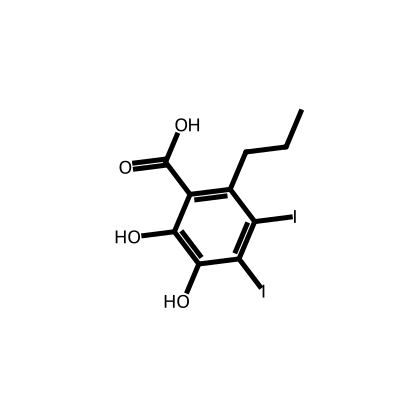 CCCc1c(I)c(I)c(O)c(O)c1C(=O)O